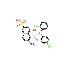 Nc1ccc2cc(S(=O)(=O)O)cc(O)c2c1N=Nc1cc(Cl)ccc1Oc1ccccc1Cl